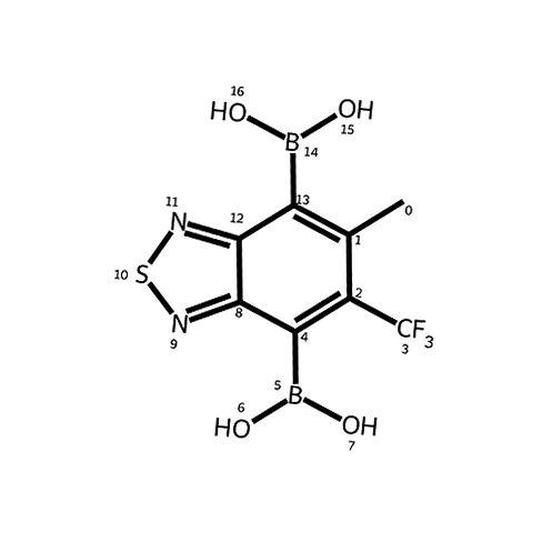 Cc1c(C(F)(F)F)c(B(O)O)c2nsnc2c1B(O)O